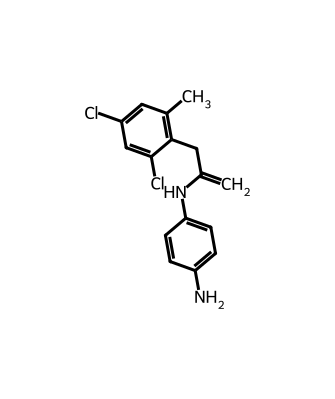 C=C(Cc1c(C)cc(Cl)cc1Cl)Nc1ccc(N)cc1